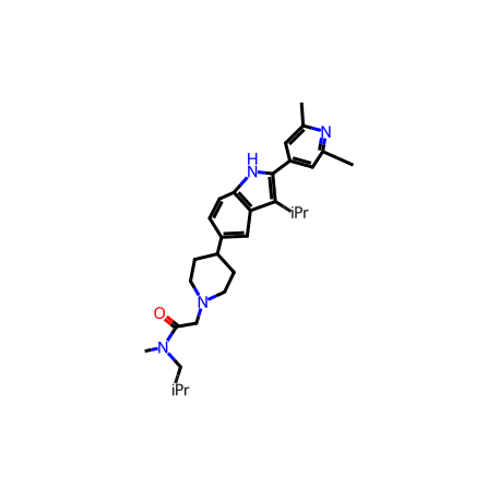 Cc1cc(-c2[nH]c3ccc(C4CCN(CC(=O)N(C)CC(C)C)CC4)cc3c2C(C)C)cc(C)n1